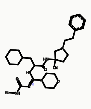 CCNC(=O)/N=C(\NC(CC1CCCCC1)C(=O)NC1(C#N)CCN(CCc2ccccc2)C1)N1CCOCC1